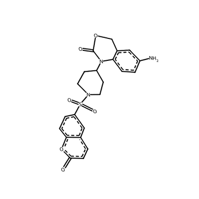 Nc1ccc2c(c1)COC(=O)N2C1CCN(S(=O)(=O)c2ccc3oc(=O)ccc3c2)CC1